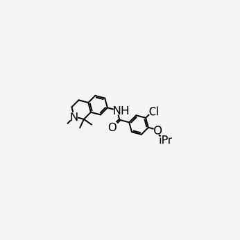 CC(C)Oc1ccc(C(=O)Nc2ccc3c(c2)C(C)(C)N(C)CC3)cc1Cl